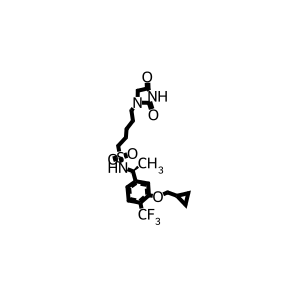 C[C@H](NS(=O)(=O)CCCCCN1CC(=O)NC1=O)c1ccc(C(F)(F)F)c(OCC2CC2)c1